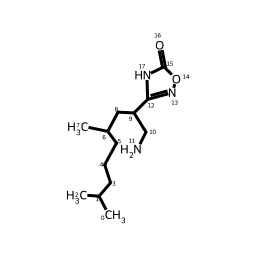 CC(C)CCCC(C)CC(CN)c1noc(=O)[nH]1